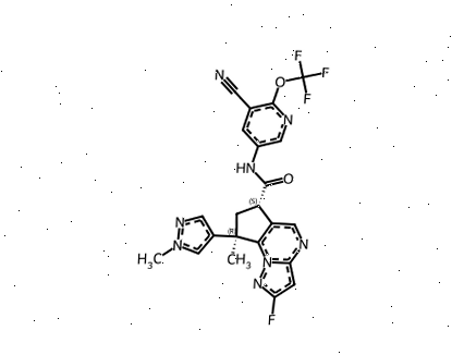 Cn1cc([C@@]2(C)C[C@H](C(=O)Nc3cnc(OC(F)(F)F)c(C#N)c3)c3cnc4cc(F)nn4c32)cn1